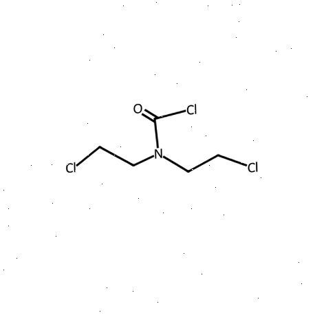 O=C(Cl)N(CCCl)CCCl